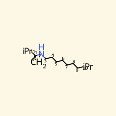 C=C(NCCCCCCCC(C)C)C(C)C